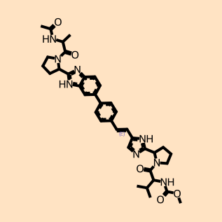 COC(=O)NC(C(=O)N1CCCC1c1ncc(/C=C/c2ccc(-c3ccc4nc(C5CCCN5C(=O)C(C)NC(C)=O)[nH]c4c3)cc2)[nH]1)C(C)C